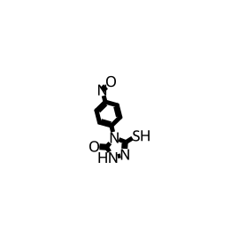 O=Nc1ccc(-n2c(S)n[nH]c2=O)cc1